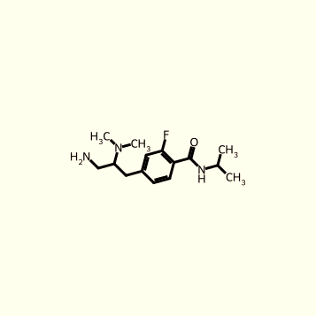 CC(C)NC(=O)c1ccc(CC(CN)N(C)C)cc1F